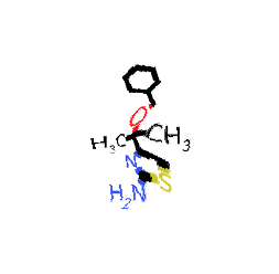 CC(C)(OCC1CCCCC1)c1csc(N)n1